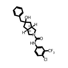 O=C(Nc1ccc(Cl)c(C(F)(F)F)c1)N1C[C@@H]2CC(O)(Cc3ccccc3)C[C@@H]2C1